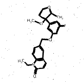 CCn1c(=O)ccc2cc(COc3cc(F)cc(C4(OC)CCOC4C)c3)ccc21